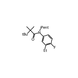 CCCC(C)N(C(=O)C(C)(C)C(C)(C)C)c1ccc(F)c(CC)c1